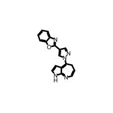 C1=CN=c2[nH]ccc2=C(n2cc(-c3nc4ccccc4o3)cn2)C1